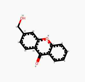 O=c1c2ccccc2oc2cc(CO)ccc12